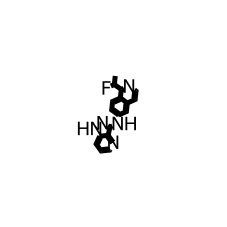 CC(F)c1nccc2cc(Nc3n[nH]c4cccnc34)ccc12